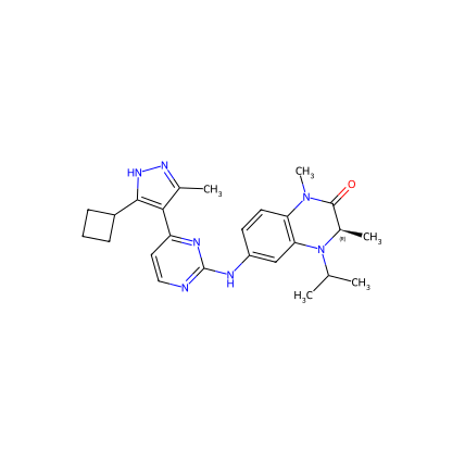 Cc1n[nH]c(C2CCC2)c1-c1ccnc(Nc2ccc3c(c2)N(C(C)C)[C@H](C)C(=O)N3C)n1